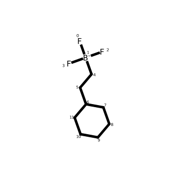 F[B-](F)(F)CCC1CCCCC1